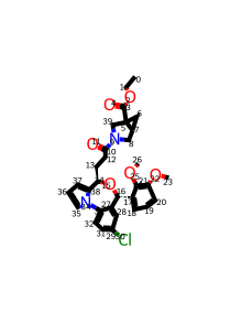 CCOC(=O)C12CC1CN(C(=O)CC[C@H]1O[C@H](c3cccc(OC)c3OC)c3cc(Cl)ccc3-n3cccc31)C2